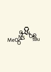 COC(=O)c1csc(C(=O)c2cn(COC(=O)C(C)(C)C)c3ccccc23)n1